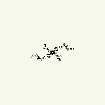 C=C(C)C(=O)OCCOC1CC(C2CCC(OCCOC(=O)C(=C)COC)CC2)C(OCCOC(=O)C(=C)C)CC1C1CCC(OCCOC(=O)C(=C)COC)CC1